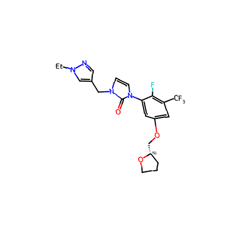 CCn1cc(Cn2ccn(-c3cc(OC[C@@H]4CCCO4)cc(C(F)(F)F)c3F)c2=O)cn1